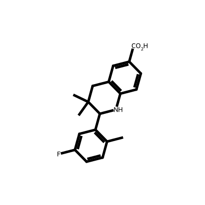 Cc1ccc(F)cc1C1Nc2ccc(C(=O)O)cc2CC1(C)C